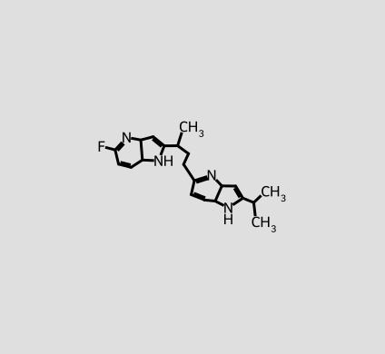 CC(C)C1=CC2N=C(CCC(C)C3=CC4N=C(F)C=CC4N3)C=CC2N1